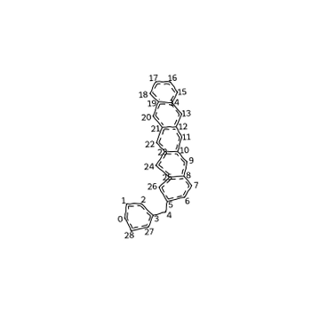 c1ccc(Cc2ccc3cc4cc5cc6ccccc6cc5cc4cc3c2)cc1